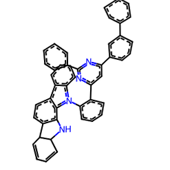 C1=CC2Nc3c(ccc4c5ccccc5n(-c5ccccc5-c5cc(-c6cccc(-c7ccccc7)c6)nc(-c6ccccc6)n5)c34)C2C=C1